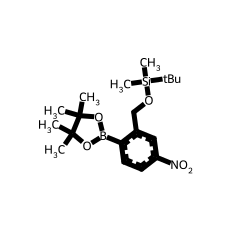 CC1(C)OB(c2ccc([N+](=O)[O-])cc2CO[Si](C)(C)C(C)(C)C)OC1(C)C